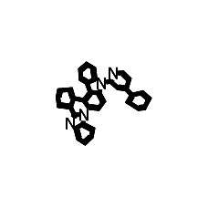 c1ccc(-c2ccnc(-n3c4ccccc4c4c5c6ccccc6c6nc7ccccc7n6c5ccc43)c2)cc1